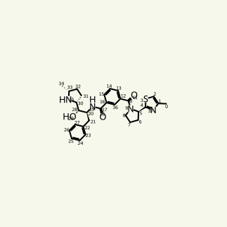 Cc1csc([C@H]2CCCN2C(=O)c2cccc(C(=O)N[C@@H](Cc3ccccc3)[C@H](O)[C@H]3CC[C@@H](C)N3)c2)n1